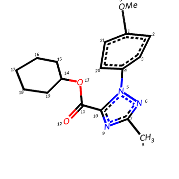 COc1ccc(-n2nc(C)nc2C(=O)OC2CCCCC2)cc1